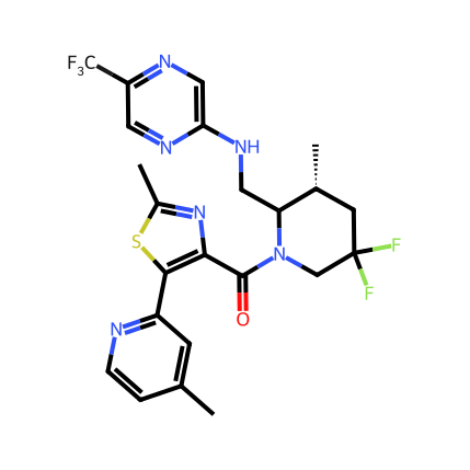 Cc1ccnc(-c2sc(C)nc2C(=O)N2CC(F)(F)C[C@@H](C)C2CNc2cnc(C(F)(F)F)cn2)c1